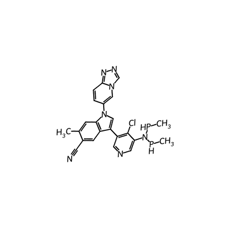 CPN(PC)c1cncc(-c2cn(-c3ccc4nncn4c3)c3cc(C)c(C#N)cc23)c1Cl